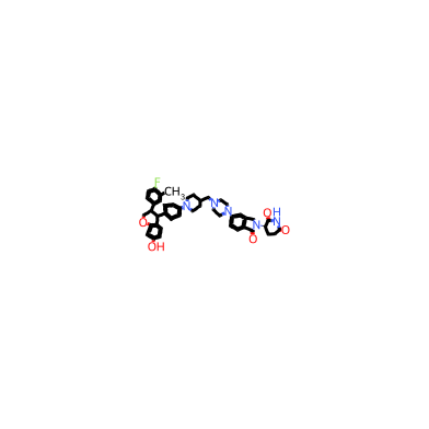 Cc1cc(C2COc3cc(O)ccc3C2c2ccc(N3CCC(CN4CCN(c5ccc6c(c5)CN([C@H]5CCC(=O)NC5=O)C6=O)CC4)CC3)cc2)ccc1F